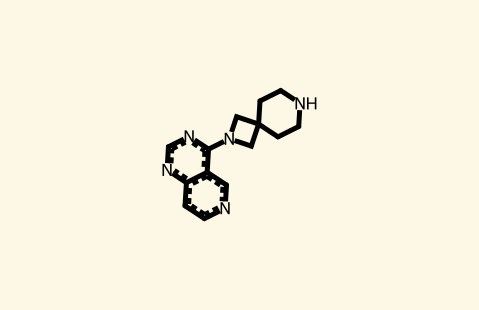 c1cc2ncnc(N3CC4(CCNCC4)C3)c2cn1